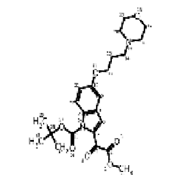 COC(=O)C(=O)c1cc2cc(OCCCN3CCOCC3)ccc2n1C(=O)OC(C)(C)C